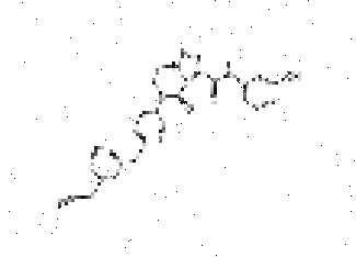 C#CCc1cccc(Cc2ccc(N3CCn4ncc(C(=O)Nc5cccc(C#N)c5)c4C3=O)cc2)c1